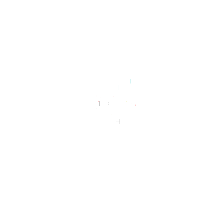 CS(C)(CC(=O)c1ccccc1)OS(=O)(=O)C(F)(F)F